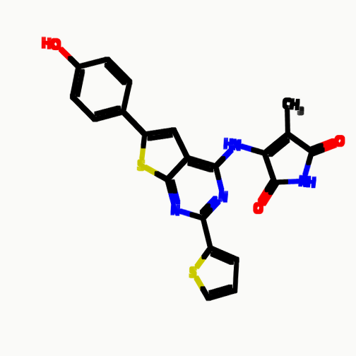 CC1=C(Nc2nc(-c3cccs3)nc3sc(-c4ccc(O)cc4)cc23)C(=O)NC1=O